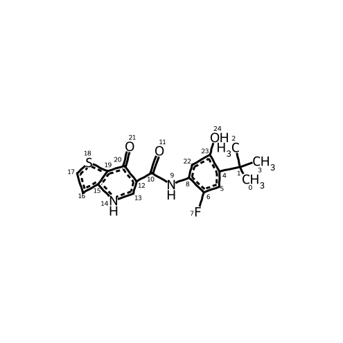 CC(C)(C)c1cc(F)c(NC(=O)c2c[nH]c3ccsc3c2=O)cc1O